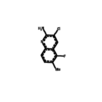 CC(C)(C)c1ccc2nc(N)c(Cl)cc2c1F